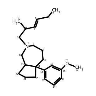 CCC=CC(C)CN1CCCC2(c3cccc(OC)c3)CCCC2C1